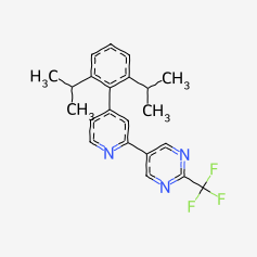 CC(C)c1cccc(C(C)C)c1-c1ccnc(-c2cnc(C(F)(F)F)nc2)c1